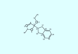 CCOC(C=O)(OCC)C1Cc2ccccc2C1